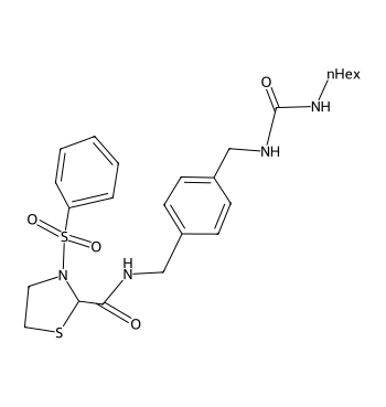 CCCCCCNC(=O)NCc1ccc(CNC(=O)C2SCCN2S(=O)(=O)c2ccccc2)cc1